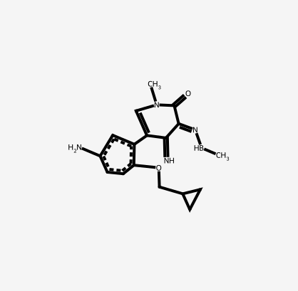 CB/N=C1\C(=N)C(c2cc(N)ccc2OCC2CC2)=CN(C)C1=O